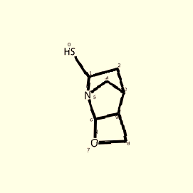 SC1CC2CN1C1OCC21